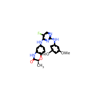 COc1cc(Nc2ncc(F)c(Nc3ccc4c(c3)NC(=O)[C@H](C)O4)n2)cc(OC)c1